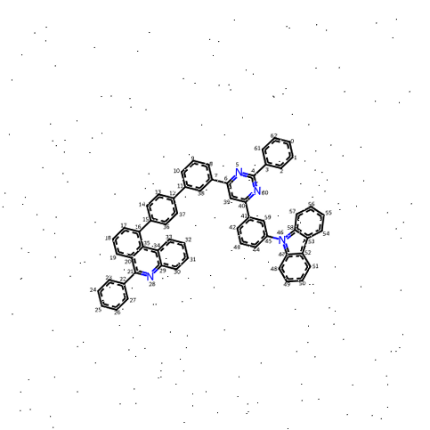 c1ccc(-c2nc(-c3cccc(-c4ccc(-c5cccc6c(-c7ccccc7)nc7ccccc7c56)cc4)c3)cc(-c3cccc(-n4c5ccccc5c5ccccc54)c3)n2)cc1